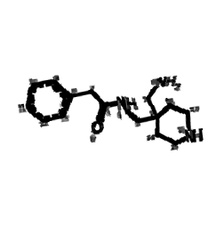 NCC1(CNC(=O)Cc2ccccc2)CCNCC1